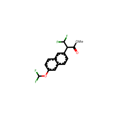 COC(=O)C(c1ccc2cc(OC(F)F)ccc2c1)C(F)F